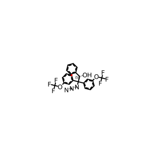 [N-]=[N+]=NC(c1cccc(OC(F)(F)F)c1)(c1cccc(OC(F)(F)F)c1)[C@@H](O)c1ccccc1